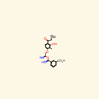 Cc1c(OCC(=N)OC(=N)c2cccc(C(=O)O)c2)ccc(C(=O)CC(C)(C)C)c1O